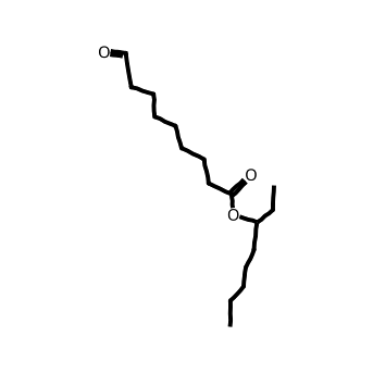 CCCCCC(CC)OC(=O)CCCCCCCC=O